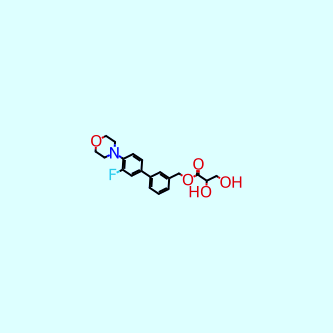 O=C(OCc1cccc(-c2ccc(N3CCOCC3)c(F)c2)c1)C(O)CO